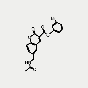 CC(=O)NCc1ccc2oc(=O)c(C(=O)Oc3cccc(Br)c3)cc2c1